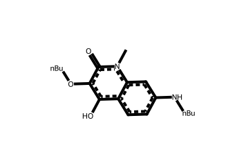 CCCCNc1ccc2c(O)c(OCCCC)c(=O)n(C)c2c1